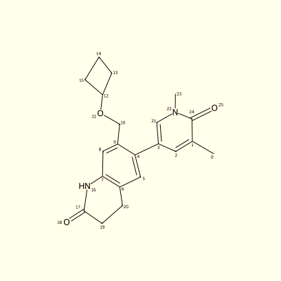 Cc1cc(-c2cc3c(cc2COC2CCC2)NC(=O)CC3)cn(C)c1=O